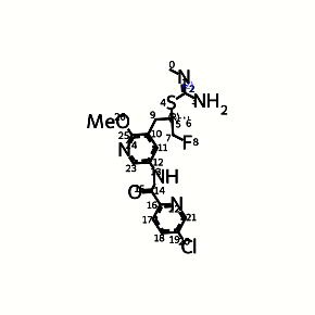 C/N=C(/N)S[C@@](C)(CF)Cc1cc(NC(=O)c2ccc(Cl)cn2)cnc1OC